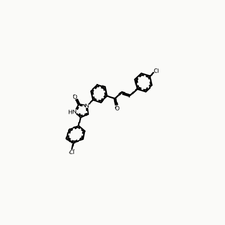 O=C(C=Cc1ccc(Cl)cc1)c1cccc(-n2cc(-c3ccc(Cl)cc3)[nH]c2=O)c1